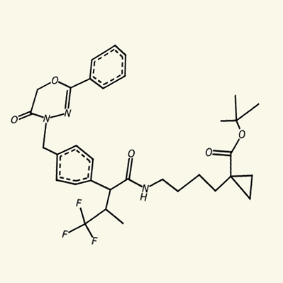 CC(C(C(=O)NCCCCC1(C(=O)OC(C)(C)C)CC1)c1ccc(CN2N=C(c3ccccc3)OCC2=O)cc1)C(F)(F)F